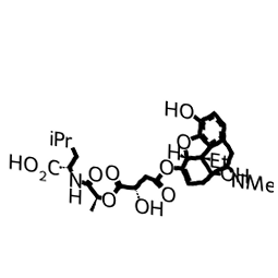 CC[C@]12c3c4ccc(O)c3O[C@H]1C(OC(=O)C[C@H](O)C(=O)O[C@@H](C)C(=O)N[C@@H](CC(C)C)C(=O)O)=CC[C@@]2(O)[C@H](NC)C4